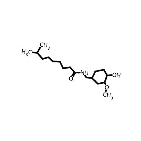 COC1CC(CNC(=O)CCCCCCC(C)C)CCC1O